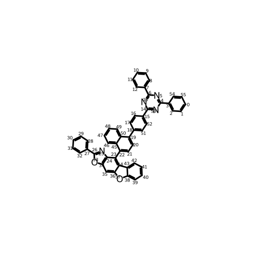 c1ccc(-c2nc(-c3ccccc3)nc(-c3ccc(-c4ccc(-c5c6nc(-c7ccccc7)oc6cc6oc7ccccc7c56)c5ccccc45)cc3)n2)cc1